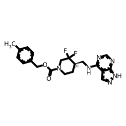 Cc1ccc(COC(=O)N2CC[C@H](CNc3ncnc4[nH]ncc34)C(F)(F)C2)cc1